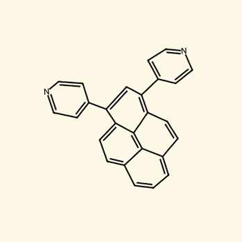 c1cc2ccc3c(-c4ccncc4)cc(-c4ccncc4)c4ccc(c1)c2c34